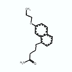 CCCOc1ccc2cccc(CCCC(N)=O)c2c1